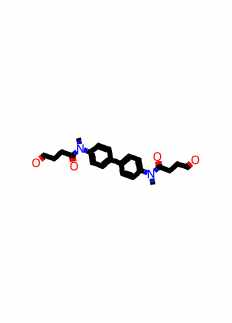 CN(C(=O)CCC=O)c1ccc(-c2ccc(N(C)C(=O)CCC=O)cc2)cc1